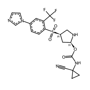 N#CC1(NC(=O)O[C@H]2C[C@@H](S(=O)(=O)c3ccc(-n4ccnc4)cc3C(F)(F)F)CN2)CC1